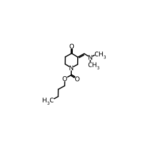 CCCCOC(=O)N1CCC(=O)C(=CN(C)C)C1